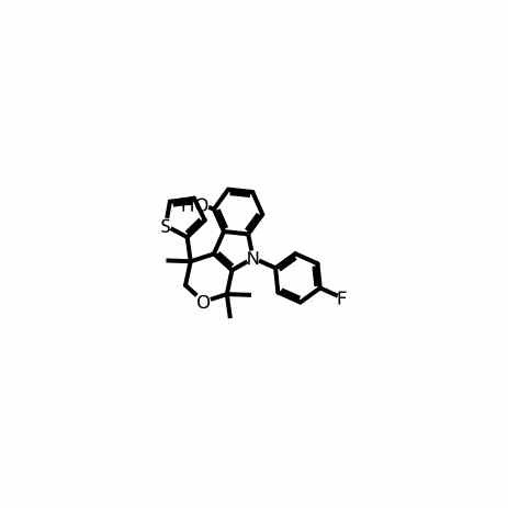 CC1(C)OCC(C)(c2cccs2)c2c1n(-c1ccc(F)cc1)c1cccc(O)c21